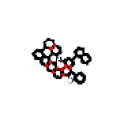 c1ccc(-c2ccc(-c3cccc4ccccc34)cc2N(c2ccccc2-c2ccc3c(c2)oc2ccccc23)c2ccccc2-c2cccc3cccc(C4CCCCC4)c23)cc1